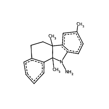 Cc1ccc2c(c1)C1(C)CCc3ccccc3C1(C)N2N